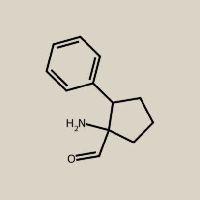 NC1(C=O)CCCC1c1ccccc1